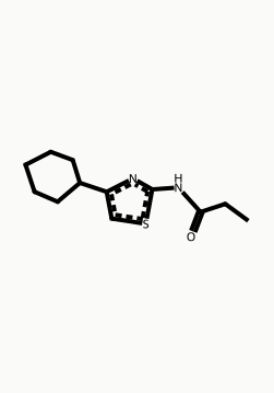 CCC(=O)Nc1nc(C2CCCCC2)cs1